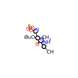 C#Cc1ccc2c(c1)[nH]c1c2c(=O)c2cc(OCC(C)C)c(-c3cncc(OS(=O)(=O)F)c3)cc2n1C